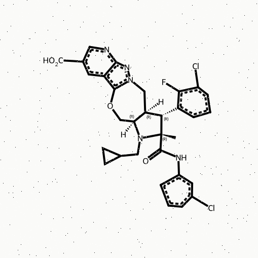 C[C@]1(C(=O)Nc2cccc(Cl)c2)[C@@H](c2cccc(Cl)c2F)[C@@H]2Cn3nc4ncc(C(=O)O)cc4c3OC[C@@H]2N1CC1CC1